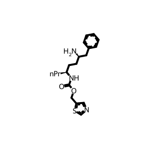 CCC[C@@H](CC[C@@H](N)Cc1ccccc1)NC(=O)OCc1cncs1